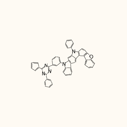 c1ccc(-c2nc(-c3ccccc3)nc(-c3cccc(-n4c5ccccc5c5cc6c7c8c(ccc7n(-c7ccccc7)c6cc54)oc4ccccc48)c3)n2)cc1